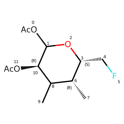 CC(=O)OC1O[C@H](CF)[C@H](C)C(C)[C@H]1OC(C)=O